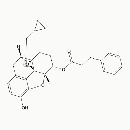 O=C(CCc1ccccc1)O[C@H]1CC[C@@]2(O)[C@H]3Cc4ccc(O)c5c4[C@@]2(CCN3CC2CC2)[C@H]1O5